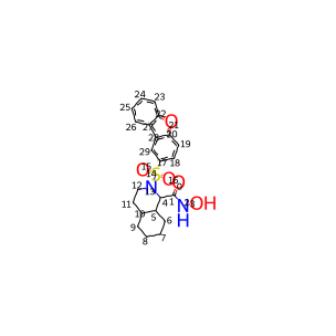 O=C(NO)C1C2CCCCC2CCN1S(=O)(=O)c1ccc2oc3ccccc3c2c1